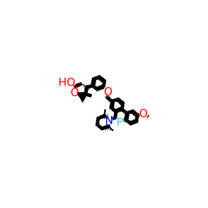 COc1ccc(F)c(-c2ccc(COc3cccc([C@@H](CC(=O)O)C4(C)CC4)c3)cc2CN2[C@H](C)CCC[C@@H]2C)c1